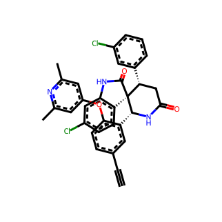 C#Cc1ccc(Oc2cc(C)nc(C)c2)c([C@H]2NC(=O)C[C@@H](c3cccc(Cl)c3)[C@]23C(=O)Nc2cc(Cl)ccc23)c1